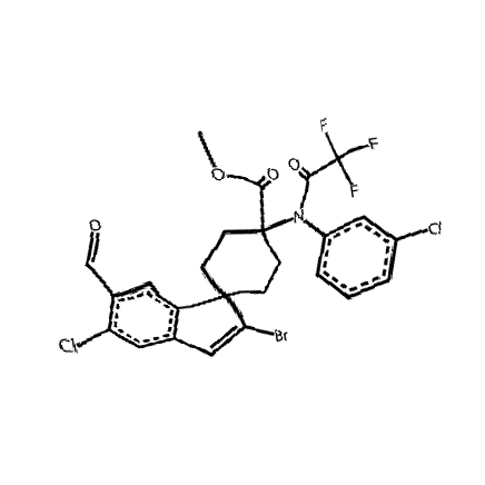 COC(=O)C1(N(C(=O)C(F)(F)F)c2cccc(Cl)c2)CCC2(CC1)C(Br)=Cc1cc(Cl)c(C=O)cc12